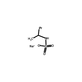 CC(C)C(C)NS(=O)(=O)[O-].[Na+]